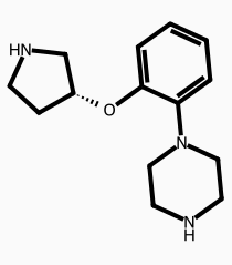 c1ccc(N2CCNCC2)c(O[C@@H]2CCNC2)c1